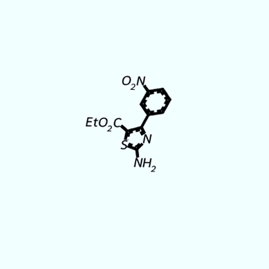 CCOC(=O)c1sc(N)nc1-c1cccc([N+](=O)[O-])c1